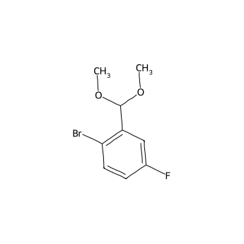 COC(OC)c1cc(F)ccc1Br